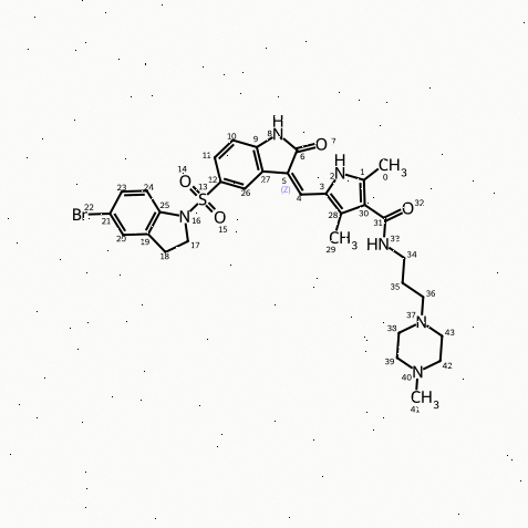 Cc1[nH]c(/C=C2\C(=O)Nc3ccc(S(=O)(=O)N4CCc5cc(Br)ccc54)cc32)c(C)c1C(=O)NCCCN1CCN(C)CC1